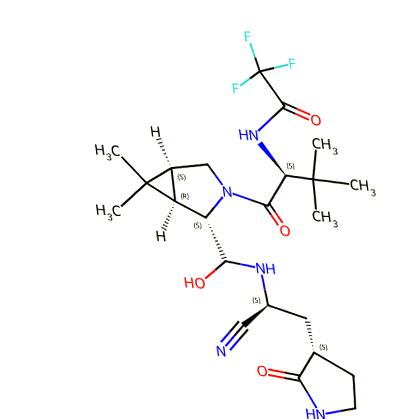 CC(C)(C)[C@H](NC(=O)C(F)(F)F)C(=O)N1C[C@H]2[C@@H]([C@H]1C(O)N[C@H](C#N)C[C@@H]1CCNC1=O)C2(C)C